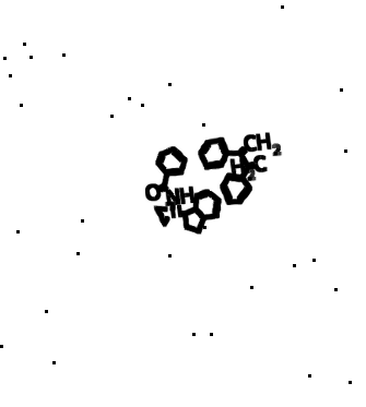 C=C(C(=C)c1ccccc1)c1ccccc1.O=C([NH][Ti]1([CH]2CCC3C=CC=CC32)[CH2][CH2]1)c1ccccc1